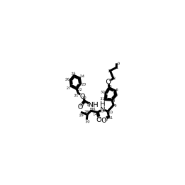 CCCCOc1ccc(CC(C=O)NC(=O)[C@@H](NC(=O)OCc2ccccc2)C(C)C)cc1